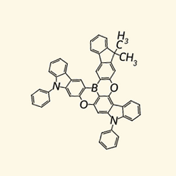 CC1(C)c2ccccc2-c2cc3c(cc21)Oc1c2c(cc4c1c1ccccc1n4-c1ccccc1)Oc1cc4c(cc1B32)c1ccccc1n4-c1ccccc1